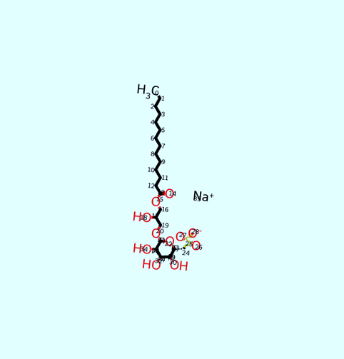 CCCCCCCCCCCCCC(=O)OCC(O)CO[C@H]1O[C@H](CS(=O)(=O)[O-])[C@H](O)[C@H](O)[C@H]1O.[Na+]